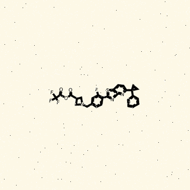 O=C(OC(=O)C(F)(F)F)C1CN(Cc2ccc(-c3nc4nc(C5(c6ccccc6)C=C5)ccc4s3)c(F)c2)C1